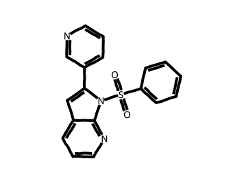 O=S(=O)(c1ccccc1)n1c(-c2cccnc2)cc2cccnc21